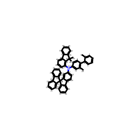 Cc1ccccc1-c1ccc(N(c2ccc3c(c2)C2(c4ccccc4-c4ccccc42)c2ccccc2-3)c2cccc3c2C(C)(C)c2ccccc2-3)cc1C